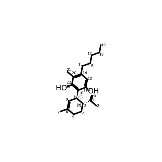 C=C(C)[C@@H]1CCC(C)=C[C@H]1c1c(O)cc(CCCCC)c(C)c1O